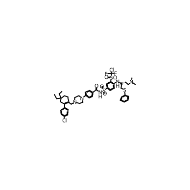 CCC1(CC)CCC(CN2CCN(c3ccc(C(=O)NS(=O)(=O)c4ccc(N[C@H](CCN(C)C)CSc5ccccc5)c(S(=O)(=O)C(F)(F)Cl)c4)cc3)CC2)=C(c2ccc(Cl)cc2)C1